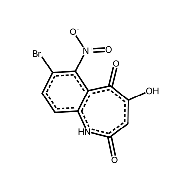 O=c1cc(O)c(=O)c2c([N+](=O)[O-])c(Br)ccc2[nH]1